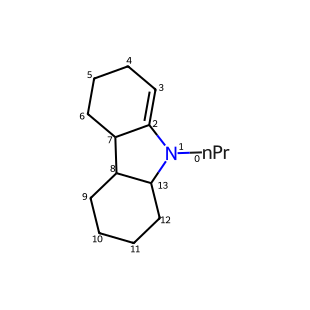 CCCN1C2=CCCCC2C2CCCCC21